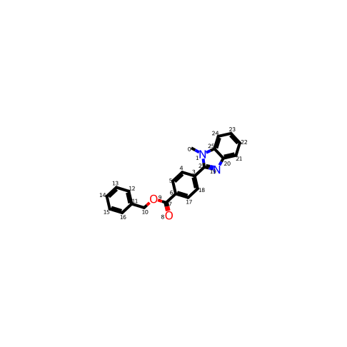 Cn1c(-c2ccc(C(=O)OCc3ccccc3)cc2)nc2ccccc21